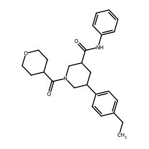 CCc1ccc(C2CC(C(=O)Nc3ccccc3)CN(C(=O)C3CCOCC3)C2)cc1